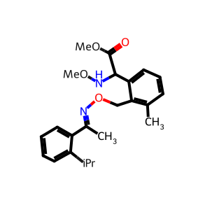 CONC(C(=O)OC)c1cccc(C)c1CO/N=C(\C)c1ccccc1C(C)C